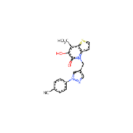 N#Cc1ccc(-n2cc(Cn3c(=O)c(O)c(C(=O)O)c4sccc43)cn2)cc1